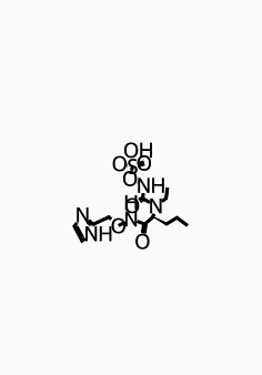 CCC[C@@H](C(=O)NOCc1ncc[nH]1)N(CC)C(=O)NOS(=O)(=O)O